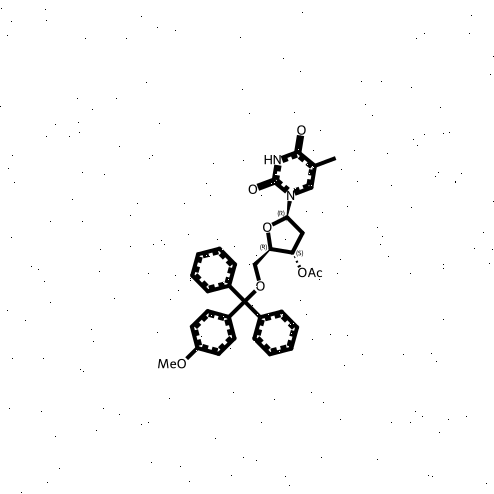 COc1ccc(C(OC[C@H]2O[C@@H](n3cc(C)c(=O)[nH]c3=O)C[C@@H]2OC(C)=O)(c2ccccc2)c2ccccc2)cc1